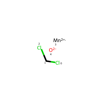 ClCCl.[Mn+2].[O-2]